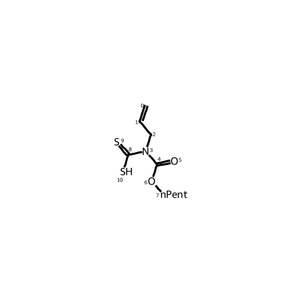 C=CCN(C(=O)OCCCCC)C(=S)S